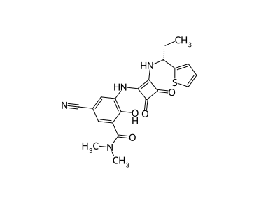 CC[C@@H](Nc1c(Nc2cc(C#N)cc(C(=O)N(C)C)c2O)c(=O)c1=O)c1cccs1